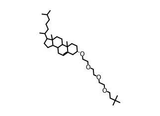 CC(C)CCCC(C)C1CCC2C3CC=C4C[C@@H](OCCOCCOCCOCCC(C)(C)C)CCC4(C)C3CCC12C